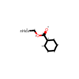 CCCCCCCOC(=O)C1CCCCC1